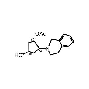 CC(=O)O[C@H]1C[C@H](O)C[C@@H]1N1CCc2ccccc2C1